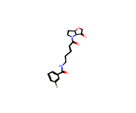 O=C(NCCCCC(=O)N1CCC2OCC(=O)C21)c1cccc(Br)c1